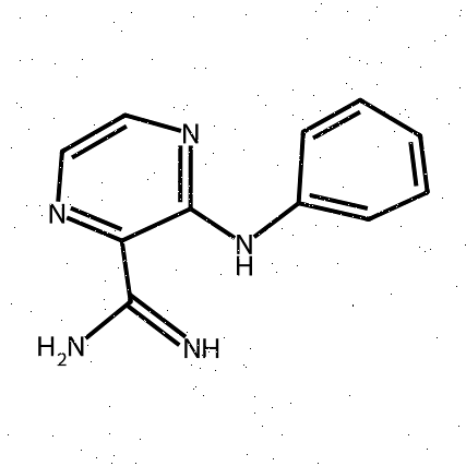 N=C(N)c1nccnc1Nc1ccccc1